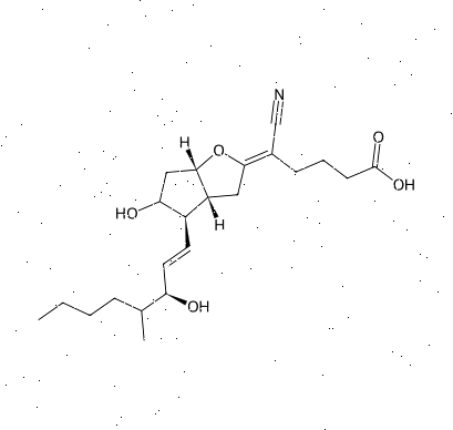 CCCCC(C)[C@H](O)/C=C/[C@H]1C(O)C[C@@H]2O/C(=C(\C#N)CCCC(=O)O)C[C@@H]21